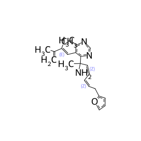 C=C(C)/C(C)=C/c1c(C)ncnc1C(C)(N)/C=C\C=C/Cc1ccco1